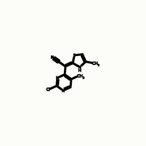 CC1=CSC(=C(C#N)c2nc(Cl)ncc2C)N1